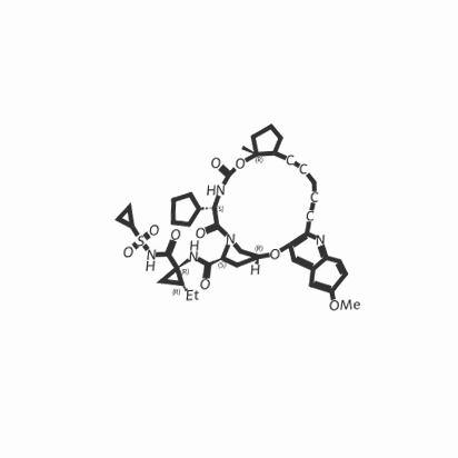 CC[C@@H]1C[C@]1(NC(=O)[C@@H]1C[C@@H]2CN1C(=O)[C@H](C1CCCC1)NC(=O)O[C@]1(C)CCCC1CCCCCc1nc3ccc(OC)cc3cc1O2)C(=O)NS(=O)(=O)C1CC1